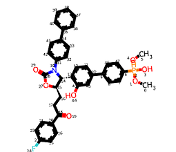 CO[PH](O)(OC)c1ccc(-c2ccc([C@@H]3[C@@H](CCC(=O)c4ccc(F)cc4)OC(=O)N3c3ccc(-c4ccccc4)cc3)c(O)c2)cc1